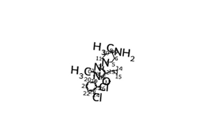 Cc1nc(N2CCC(C)(N)CC2)c(C2CC2)c(=O)n1-c1cccc(Cl)c1Cl